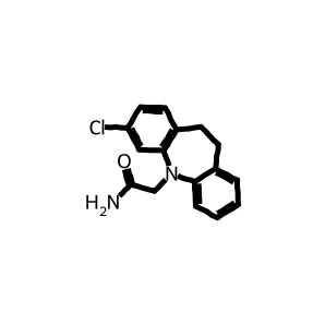 NC(=O)CN1c2ccccc2CCc2ccc(Cl)cc21